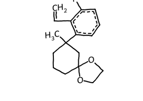 C=Cc1c(F)cccc1C1(C)CCCC2(C1)OCCO2